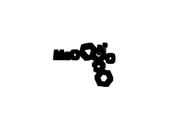 COc1ccc2c(c1)C(C)(CC1(C)CCCCC1)C(=O)N2C